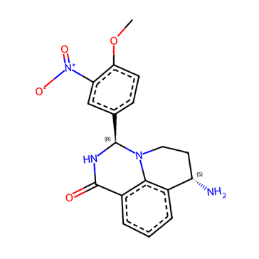 COc1ccc([C@@H]2NC(=O)c3cccc4c3N2CC[C@@H]4N)cc1[N+](=O)[O-]